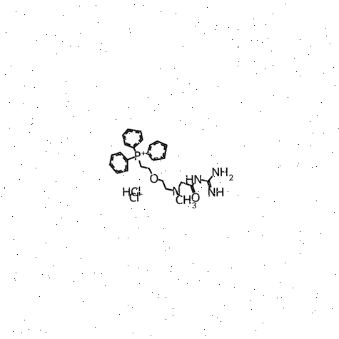 CN(CCOCC[P+](c1ccccc1)(c1ccccc1)c1ccccc1)CC(=O)NC(=N)N.Cl.[Cl-]